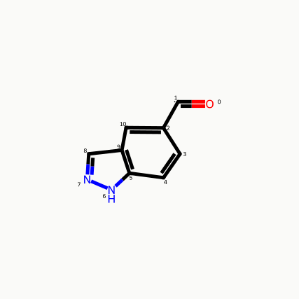 O=[C]c1ccc2[nH]ncc2c1